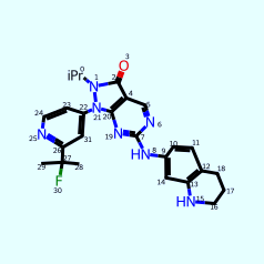 CC(C)n1c(=O)c2cnc(Nc3ccc4c(c3)NCCC4)nc2n1-c1ccnc(C(C)(C)F)c1